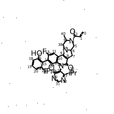 C=CC(=O)N1CC2Cc3c(c4cc(F)c(-c5c(O)cccc5F)c(Cl)c4n(-c4c(C(C)C)ncnc4C(C)C)c3=O)N2CC1C